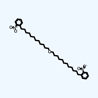 O=[N+]([O-])c1ccccc1CCCCCCCCCCCCOCCCCCCCCCCCCc1ccccc1[N+](=O)[O-]